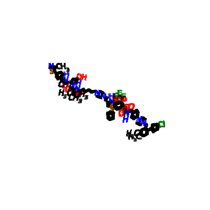 Cc1ncsc1-c1ccc([C@H](C)NC(=O)[C@@H]2C[C@@H](O)CN2C(=O)[C@@H](NC(=O)CCCCCN2CCN(CC[C@H](CSc3ccccc3)Nc3ccc(S(=O)(=O)NC(=O)c4ccc(N5CCN(CC6=C(c7ccc(Cl)cc7)CCC(C)(C)C6)CC5)cc4)cc3S(=O)(=O)C(F)(F)F)CC2)C(C)(C)C)cc1